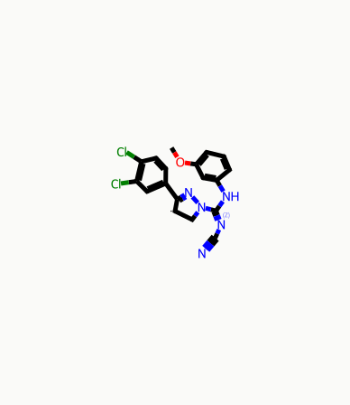 COc1cccc(N/C(=N/C#N)N2C[CH]C(c3ccc(Cl)c(Cl)c3)=N2)c1